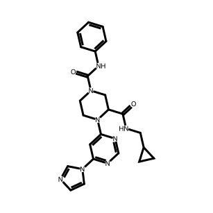 O=C(NCC1CC1)C1CN(C(=O)Nc2ccccc2)CCN1c1cc(-n2ccnc2)ncn1